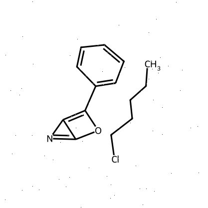 CCCCCCl.c1ccc(-c2oc3nc2-3)cc1